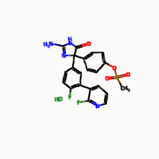 CS(=O)(=O)Oc1ccc(C2(c3ccc(F)c(-c4cccnc4F)c3)N=C(N)NC2=O)cc1.Cl